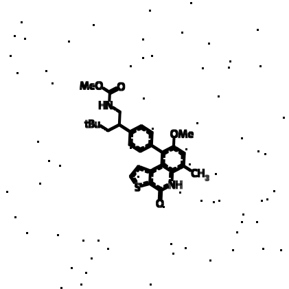 COC(=O)NCC(CC(C)(C)C)c1ccc(-c2c(OC)cc(C)c3[nH]c(=O)c4sccc4c23)cc1